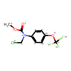 COC(=O)N(CCl)c1ccc(OC(F)(F)F)cc1